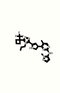 CCCn1c(C2=CC(c3nc(Nc4ccnn4C)ncc3C)CN2)nnc1C1(C(F)(F)F)CCC1